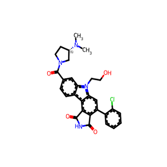 CN(C)[C@H]1CCN(C(=O)c2ccc3c4c5c(c(-c6ccccc6Cl)cc4n(CCO)c3c2)C(=O)NC5=O)C1